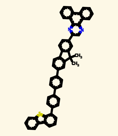 CC1(C)c2cc(-c3ccc(-c4ccc(-c5cccc6c5sc5ccccc56)cc4)cc3)ccc2-c2ccc(-c3cnc4c5ccccc5c5ccccc5c4n3)cc21